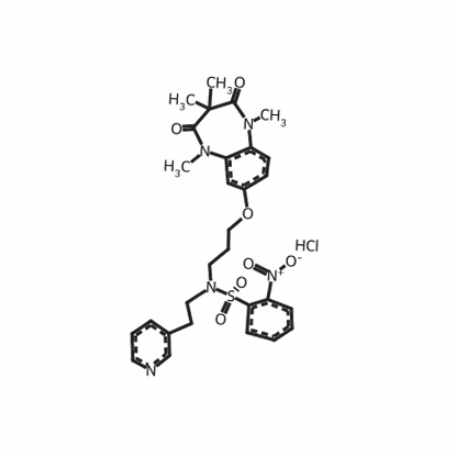 CN1C(=O)C(C)(C)C(=O)N(C)c2cc(OCCCN(CCc3cccnc3)S(=O)(=O)c3ccccc3[N+](=O)[O-])ccc21.Cl